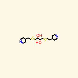 O[C@H](CSCCc1ccncc1)[C@H](O)CSCCc1ccncc1